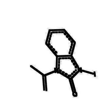 C=C(C)n1c(=O)n(I)c2ccccc21